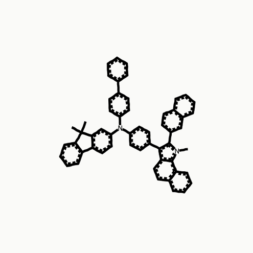 Cn1c(-c2ccc3ccccc3c2)c(-c2ccc(N(c3ccc(-c4ccccc4)cc3)c3ccc4c(c3)C(C)(C)c3ccccc3-4)cc2)c2ccc3ccccc3c21